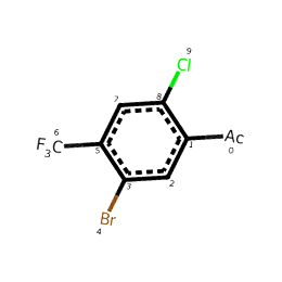 CC(=O)c1cc(Br)c(C(F)(F)F)cc1Cl